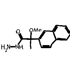 COC(C)(C(=O)NN)c1ccc2ccccc2c1